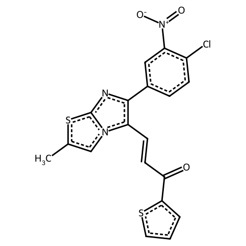 Cc1cn2c(C=CC(=O)c3cccs3)c(-c3ccc(Cl)c([N+](=O)[O-])c3)nc2s1